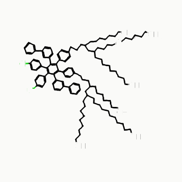 CCCCCCCCCCCCC(CCCCCCCCCC)CC(CCCCCCCC)CCCc1ccc(-c2c(-c3ccc(CCCC(CCCCCCCC)CC(CCCCCCCCCC)CCCCCCCCCCCC)cc3)c(-c3cccc(-c4ccccc4)c3)c(-c3ccc(Cl)cc3)c(-c3ccc(Cl)cc3)c2-c2cccc(-c3ccccc3)c2)cc1